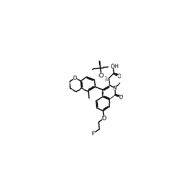 Cc1c(-c2c([C@H](OC(C)(C)C)C(=O)O)n(C)c(=O)c3cc(OCCF)ccc23)ccc2c1CCCO2